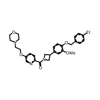 CCc1ccc(COc2ccc(C3CN(C(=O)c4ccc(OCCN5CCOCC5)cn4)C3)cc2OC)cc1